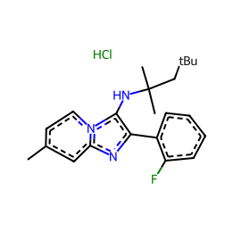 Cc1ccn2c(NC(C)(C)CC(C)(C)C)c(-c3ccccc3F)nc2c1.Cl